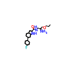 CCCOC[C@H](N)CNC(=O)c1cc2ccc(-c3ccc(F)cc3)cc2[nH]1